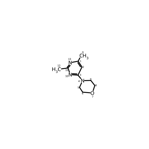 Cc1cc(N2CCOCC2)nc(C)n1